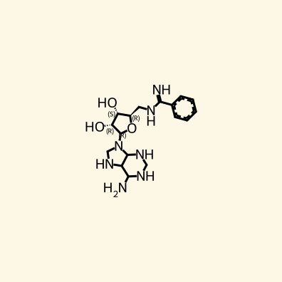 N=C(NC[C@H]1O[C@@H](N2CNC3C(N)NCNC32)[C@H](O)[C@@H]1O)c1ccccc1